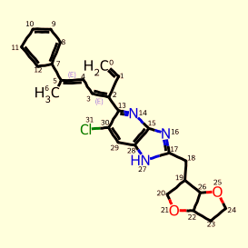 C=C/C(=C\C=C(/C)c1ccccc1)c1nc2nc(CC3COC4CCOC34)[nH]c2cc1Cl